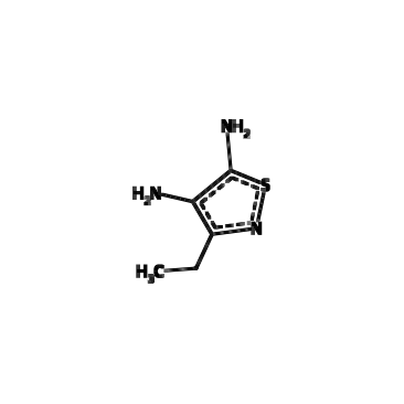 CCc1nsc(N)c1N